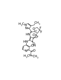 CCc1cn(C)nc1[C@H](Nc1c(Nc2ccnc(C(=O)N(C)C)c2O)c(=O)c1=O)[C@]1(C)CC(F)(F)CO1